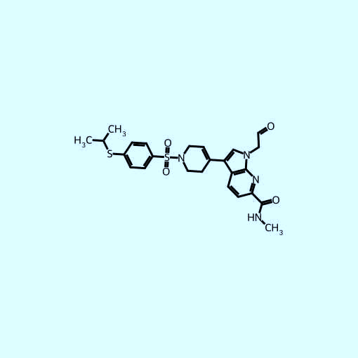 CNC(=O)c1ccc2c(C3=CCN(S(=O)(=O)c4ccc(SC(C)C)cc4)CC3)cn(CC=O)c2n1